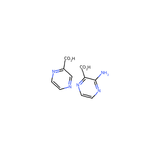 Nc1nccnc1C(=O)O.O=C(O)c1cnccn1